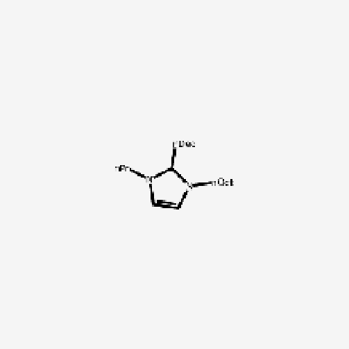 CCCCCCCCCCC1N(CCC)C=CN1CCCCCCCC